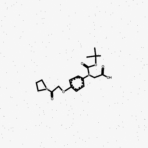 CC(C)(C)OC(=O)N(CC(=O)O)c1ccc(OCC(=O)N2CCC2)cc1